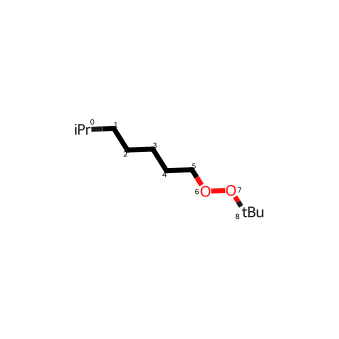 CC(C)CCCCCOOC(C)(C)C